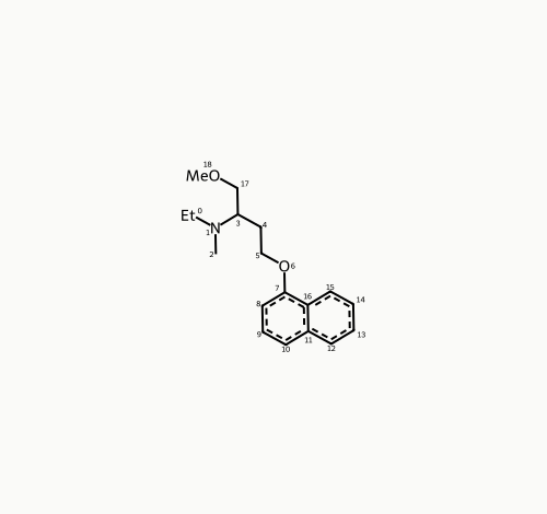 CCN(C)C(CCOc1cccc2ccccc12)COC